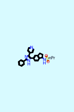 CCCS(=O)(=O)NC1CCc2cc(-c3[nH]c(-c4ccccc4)nc3-c3ccncc3)ccc21